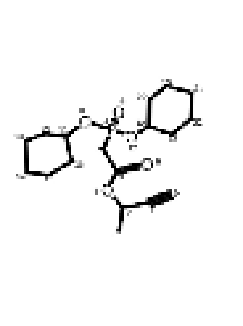 C#CC(C)OC(=O)CP(=O)(OC1CCCCC1)OC1CCCCC1